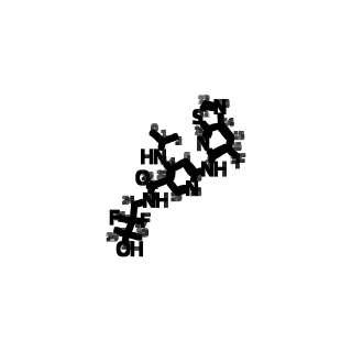 CC(C)Nc1cc(Nc2nc3scnc3cc2F)ncc1C(=O)NCC(F)(F)C(C)(C)O